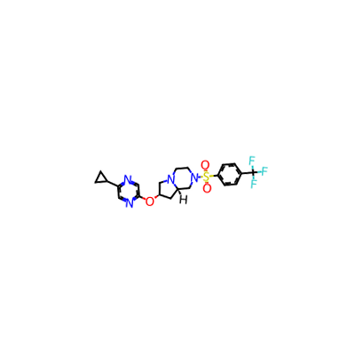 O=S(=O)(c1ccc(C(F)(F)F)cc1)N1CCN2C[C@H](Oc3cnc(C4CC4)cn3)C[C@H]2C1